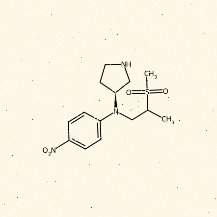 CC(CN(c1ccc([N+](=O)[O-])cc1)[C@H]1CCNC1)S(C)(=O)=O